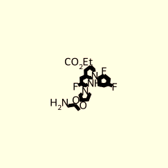 CCOC(=O)C1=CN(c2ccc(F)cc2F)C2NC(N3CCC4(C3)OCC(CN)O4)=C(F)C=C2C1